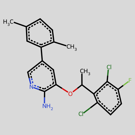 Cc1ccc(C)c(-c2cnc(N)c(OC(C)c3c(Cl)ccc(F)c3Cl)c2)c1